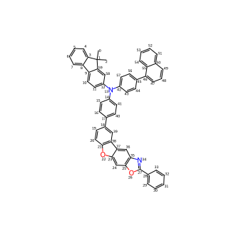 CC1(C)c2ccccc2-c2ccc(N(c3ccc(-c4ccc5oc6cc7oc(-c8ccccc8)nc7cc6c5c4)cc3)c3ccc(-c4cccc5ccccc45)cc3)cc21